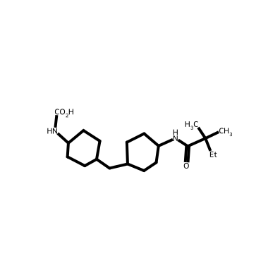 CCC(C)(C)C(=O)NC1CCC(CC2CCC(NC(=O)O)CC2)CC1